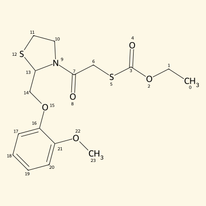 CCOC(=O)SCC(=O)N1CCSC1COc1ccccc1OC